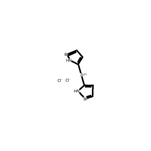 [CH]1=[Bi][NH][C]([Zr+2][C]2=C[CH]=[Bi][NH]2)=C1.[Cl-].[Cl-]